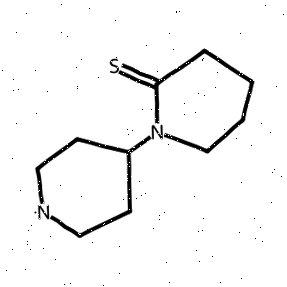 S=C1CCCCN1C1CC[N]CC1